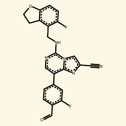 N#Cc1cn2c(NCc3c(F)ccc4c3CCO4)ncc(-c3ccc(C=O)c(F)c3)c2n1